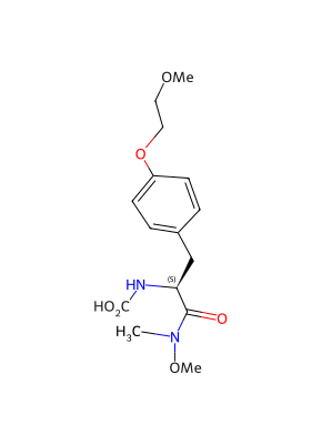 COCCOc1ccc(C[C@H](NC(=O)O)C(=O)N(C)OC)cc1